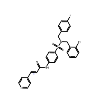 O=C(/C=C/c1ccncc1)Nc1ccc(S(=O)(=O)N(Cc2ccc(F)cc2)Cc2ccccc2Cl)cc1